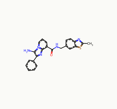 Cc1nc2ccc(CNC(=O)c3cccn4c(N)c(-c5ccccc5)nc34)cc2s1